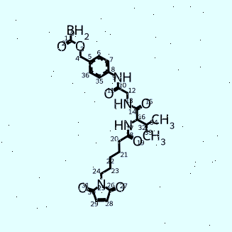 BC(=O)OCc1ccc(NC(=O)CNC(=O)C(NC(=O)CCCCCN2C(=O)C=CC2=O)C(C)C)cc1